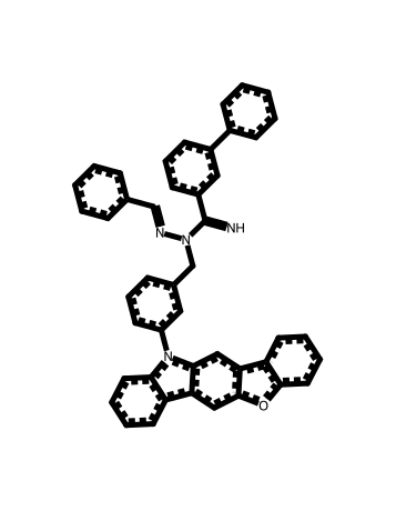 N=C(c1cccc(-c2ccccc2)c1)N(Cc1cccc(-n2c3ccccc3c3cc4oc5ccccc5c4cc32)c1)/N=C/c1ccccc1